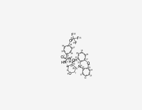 N=S(=O)(N[C@H]1COC[C@@H](N2c3ccccc3Oc3ccccc32)[C@@H]1O)c1ccc(OC(F)(F)F)cc1